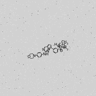 CC(C)(C)NS(=O)(=O)c1cccc(-c2ccc3cnc(Nc4ccc(N5CCOCC5)cc4)nn23)c1